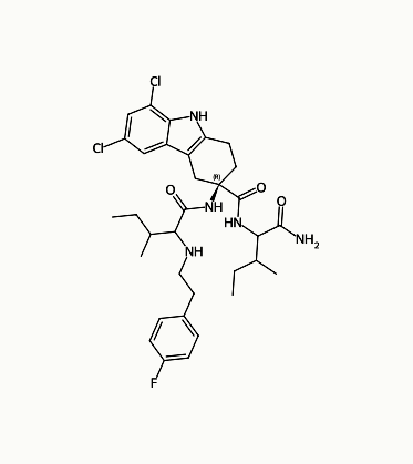 CCC(C)C(NC(=O)[C@@]1(NC(=O)C(NCCc2ccc(F)cc2)C(C)CC)CCc2[nH]c3c(Cl)cc(Cl)cc3c2C1)C(N)=O